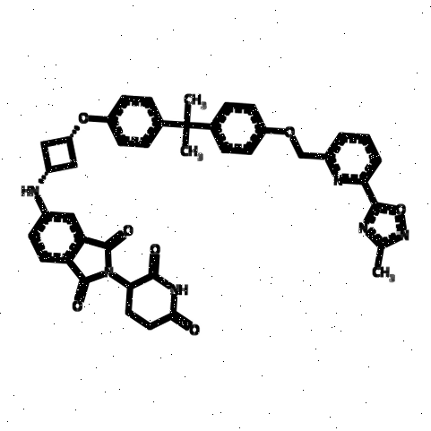 Cc1noc(-c2cccc(COc3ccc(C(C)(C)c4ccc(O[C@H]5C[C@@H](Nc6ccc7c(c6)C(=O)N(C6CCC(=O)NC6=O)C7=O)C5)cc4)cc3)n2)n1